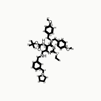 CCSc1nc(CNCc2cccc(CN3CCCC3)c2)c(NC(=O)OC(C)(C)C)c(N(Cc2ccc(OC)cc2)Cc2ccc(OC)cc2)n1